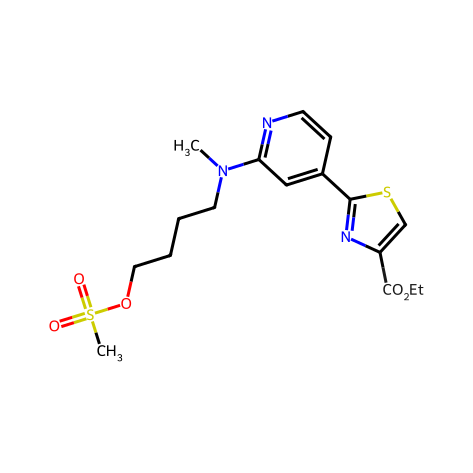 CCOC(=O)c1csc(-c2ccnc(N(C)CCCCOS(C)(=O)=O)c2)n1